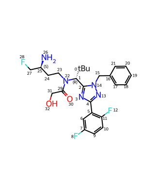 CC(C)(C)[C@H](c1nc(-c2cc(F)ccc2F)nn1Cc1ccccc1)N(CC[C@H](N)CF)C(=O)CO